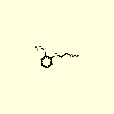 COCCOc1ccc[c]c1OC(F)(F)F